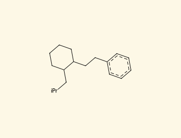 CC(C)CC1CCCCC1CCc1ccccc1